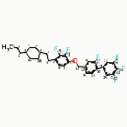 CCCC1CCC(CCc2ccc(OCc3ccc(-c4cc(F)c(F)c(F)c4)c(F)c3)c(F)c2F)CC1